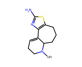 CCCN1CCC=C2c3nc(N)sc3CCCC21